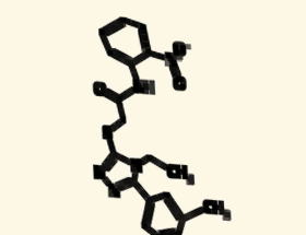 CCn1c(SCC(=O)Nc2ccccc2[N+](=O)[O-])nnc1-c1cccc(C)c1